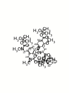 COc1c(C[C@H](NC(=O)c2ccc(CN(C)C(=O)OC(C)(C)C)c(CN(C)C(=O)OC(C)(C)C)c2)B2OC3CC4CC(C4(C)C)C3(C)O2)cccc1C(=O)OC(C)(C)C